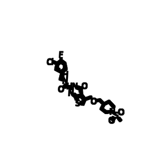 CS(=O)(=O)N1CCC(COCc2csc3nc(C(=O)NCc4ccc(F)c(Cl)c4)[nH]c(=O)c23)CC1